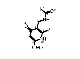 COc1cc(=O)c(CNC(=O)I)c(C)[nH]1